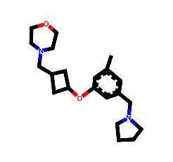 Cc1cc(CN2CCCC2)cc(OC2CC(CN3CCOCC3)C2)c1